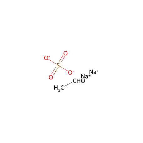 CC=O.O=S(=O)([O-])[O-].[Na+].[Na+]